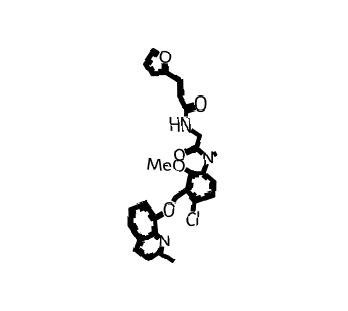 COc1c(N(C)C(=O)CNC(=O)C=Cc2ccco2)ccc(Cl)c1COc1cccc2ccc(C)nc12